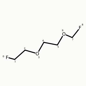 FCCOCCOCF